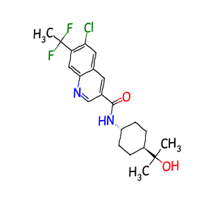 CC(F)(F)c1cc2ncc(C(=O)N[C@H]3CC[C@H](C(C)(C)O)CC3)cc2cc1Cl